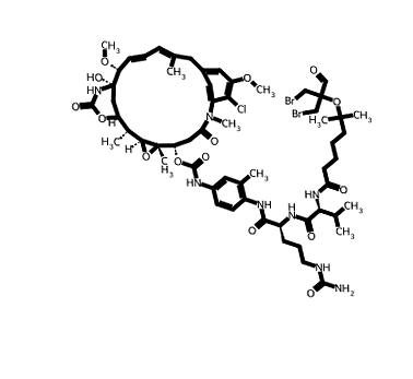 COc1cc2cc(c1Cl)N(C)C(=O)C[C@H](OC(=O)Nc1ccc(NC(=O)[C@H](CCCNC(N)=O)NC(=O)[C@@H](NC(=O)CCCCC(C)(C)OC(C=O)(CBr)CBr)C(C)C)c(C)c1)[C@]1(C)O[C@H]1[C@H](C)[C@@H]1C[C@@](O)(NC(=O)O1)[C@H](OC)/C=C/C=C(\C)C2